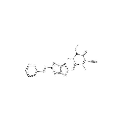 CCN1C(=O)C(C#N)=C(C)/C(=C/c2cc3oc(/C=C/c4ccccc4)nc3o2)C1=O